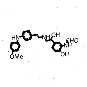 COc1ccc(Nc2ccc(CCNCC(O)c3ccc(O)c(NC=O)c3)cc2)cc1